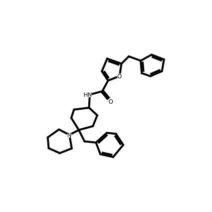 O=C(NC1CCC(Cc2ccccc2)(N2CCCCC2)CC1)c1ccc(Cc2ccccc2)o1